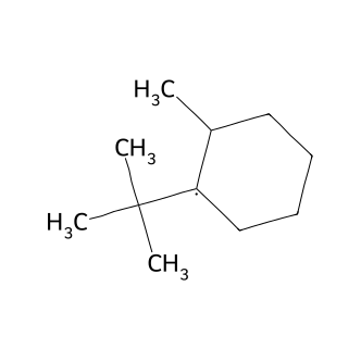 CC1CCCC[C]1C(C)(C)C